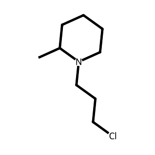 CC1CCCCN1CCCCl